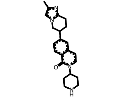 Cc1cn2c(n1)CCC(c1ccc3c(=O)n(C4CCNCC4)ccc3c1)C2